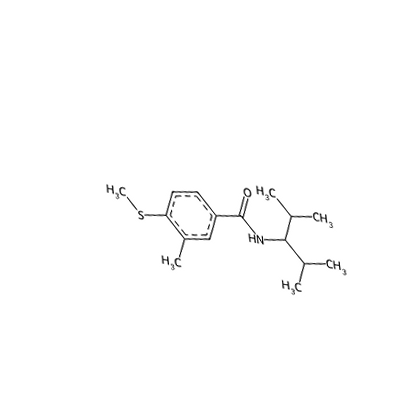 CSc1ccc(C(=O)NC(C(C)C)C(C)C)cc1C